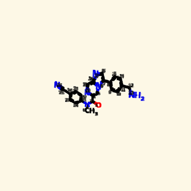 CN(C(=O)c1cn2c(-c3ccc(CN)cc3)cnc2cn1)c1ccc(C#N)cc1